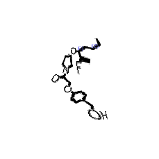 C=C(F)/C(=C\C=C/C)O[C@H]1CCN(C(=O)COc2ccc(CO)cc2)C1